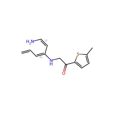 C=C/C=C(\C=C/N)NCC(=O)c1ccc(C)s1